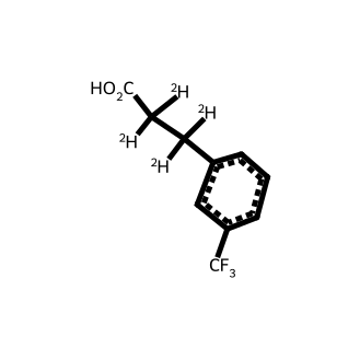 [2H]C([2H])(C(=O)O)C([2H])([2H])c1cccc(C(F)(F)F)c1